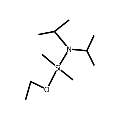 CCO[Si](C)(C)N(C(C)C)C(C)C